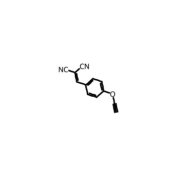 C#COc1ccc(C=C(C#N)C#N)cc1